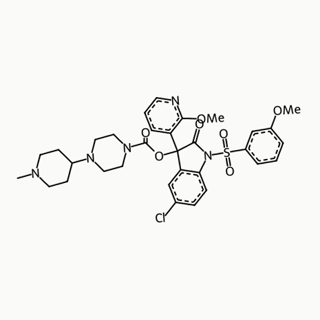 COc1cccc(S(=O)(=O)N2C(=O)C(OC(=O)N3CCN(C4CCN(C)CC4)CC3)(c3cccnc3OC)c3cc(Cl)ccc32)c1